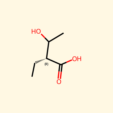 CC[C@@H](C(=O)O)C(C)O